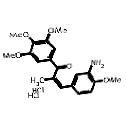 COc1ccc(C=C(C)C(=O)c2cc(OC)c(OC)c(OC)c2)cc1N.Cl.Cl